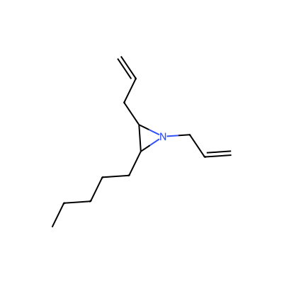 C=CCC1C(CCCCC)N1CC=C